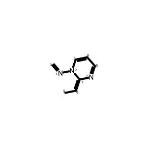 C=NN1C=CC=N/C1=C/C